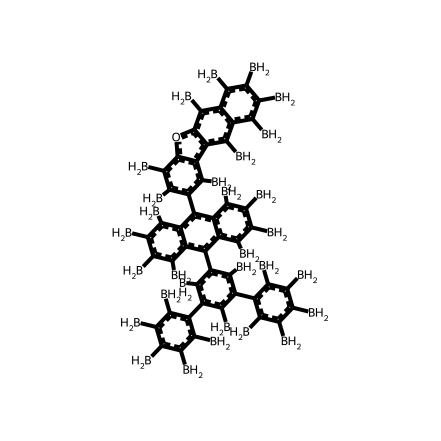 Bc1c(B)c(B)c(-c2c(B)c(-c3c(B)c(B)c(B)c(B)c3B)c(B)c(-c3c4c(B)c(B)c(B)c(B)c4c(-c4c(B)c(B)c5oc6c(B)c7c(B)c(B)c(B)c(B)c7c(B)c6c5c4B)c4c(B)c(B)c(B)c(B)c34)c2B)c(B)c1B